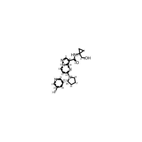 O=C(NC1(CO)CC1)c1cnn2ccc(N3CCC[C@@H]3c3cncc(F)c3)nc12